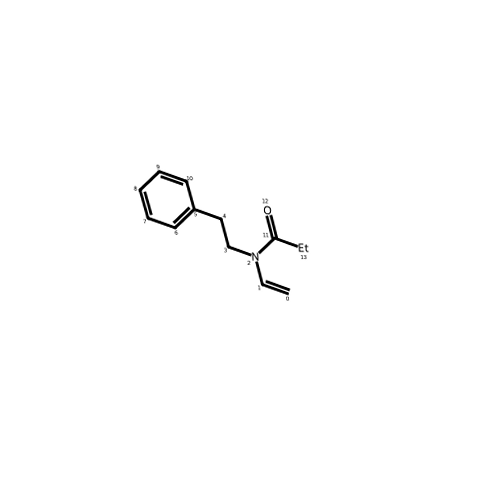 C=CN(CCc1ccccc1)C(=O)CC